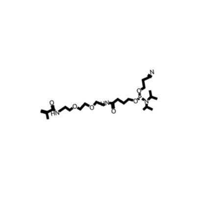 C=C(C)C(=O)NCCOCCOCCNC(=O)CCCOP(OCCC#N)N(C(C)C)C(C)C